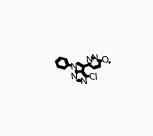 COc1ccc(-c2cn(-c3ccccc3)c3ncnc(Cl)c23)nn1